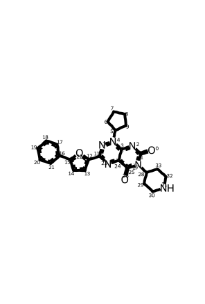 O=c1nc2n(C3CCCC3)nc(-c3ccc(-c4ccccc4)o3)nc-2c(=O)n1C1CCNCC1